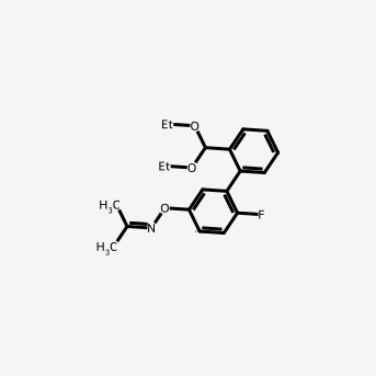 CCOC(OCC)c1ccccc1-c1cc(ON=C(C)C)[c]cc1F